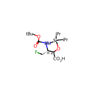 CC(C)[Si](O[C@@H](C(=O)O)[C@H](CF)NC(=O)OC(C)(C)C)(C(C)C)C(C)C